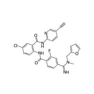 C#Cc1ccc(NC(=O)c2cc(Cl)ccc2NC(=O)c2ccc(C(=N)N(C)Cc3ccco3)cc2F)nc1